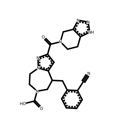 N#Cc1ccccc1CC1CN(C(=O)O)CCn2nc(C(=O)N3CCc4[nH]nnc4C3)cc21